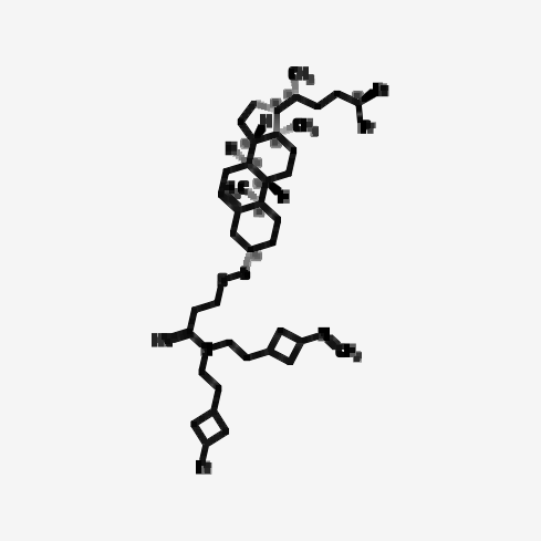 C=NC1CC(CCN(CCC2CC(CC)C2)C(=N)CCSS[C@H]2CC[C@@]3(C)C(=CC[C@H]4[C@@H]5CC[C@H]([C@H](C)CC[C@@H](CC)C(C)C)[C@@]5(C)CC[C@@H]43)C2)C1